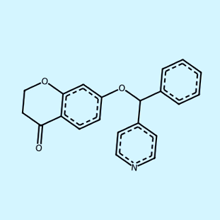 O=C1CCOc2cc(OC(c3ccccc3)c3ccncc3)ccc21